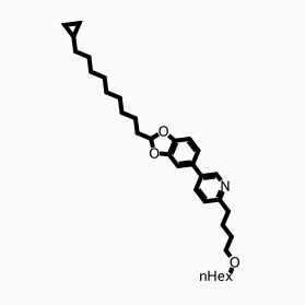 CCCCCCOCCCCc1ccc(-c2ccc3c(c2)OC(CCCCCCCCCC2CC2)O3)cn1